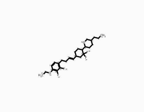 CCCC1CCC(C2CCC(/C=C/CCc3ccc(OCC)c(F)c3F)CC2(F)F)OC1